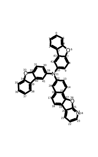 c1ccc2c(c1)oc1ccc(N(c3ccc4c(ccc5c6cccnc6oc45)c3)c3ccc4oc5ccccc5c4c3)cc12